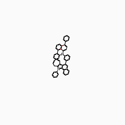 C1=CCc2c(c3c(-c4cccc(N(C5=CC=C(c6ccccc6)CC5)c5ccccc5-c5ccccc5)c4)cc4ccccc4c3n2-c2ccccc2)C=C1